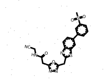 CS(=O)(=O)c1cccc(-c2ccc3nc(Cc4nnc(CC(=O)NCC#N)o4)sc3c2)c1